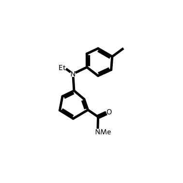 CCN(c1ccc(C)cc1)c1cccc(C(=O)NC)c1